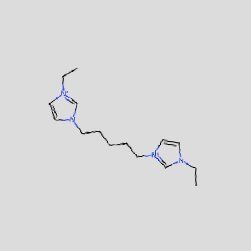 CCn1cc[n+](CCCCCn2cc[n+](CC)c2)c1